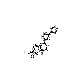 O=C1N2C[C@@H](CCC2c2nnc(-c3ccon3)o2)N1OS(=O)(=O)O